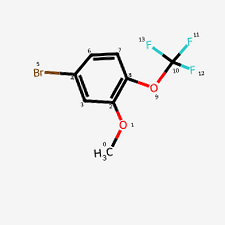 COc1cc(Br)ccc1OC(F)(F)F